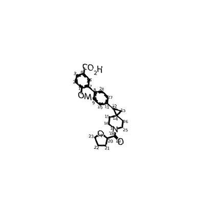 COc1ccc(C(=O)O)cc1-c1ccc([C@H]2CC23CCN(C(=O)C2CCCO2)CC3)cc1